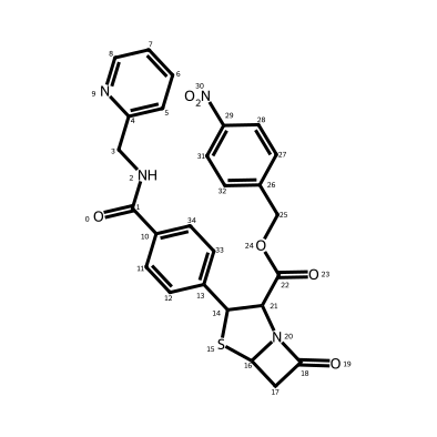 O=C(NCc1ccccn1)c1ccc(C2SC3CC(=O)N3C2C(=O)OCc2ccc([N+](=O)[O-])cc2)cc1